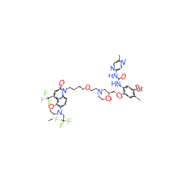 CC[C@@H]1COc2c(ccc3c2c(C(F)(F)F)cc(=O)n3CCCCOCCN2CCO[C@H](COc3cc(C)c(Br)cc3NC(=O)Nc3cnc(C)cn3)C2)N1CC(F)(F)F